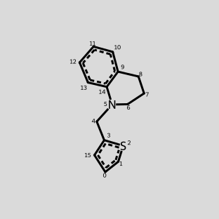 c1csc(CN2CCCc3ccccc32)c1